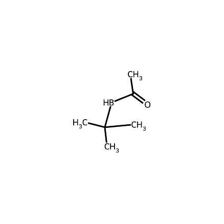 CC(=O)BC(C)(C)C